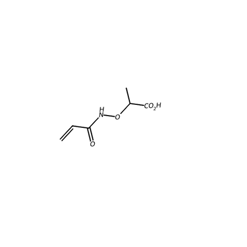 C=CC(=O)NOC(C)C(=O)O